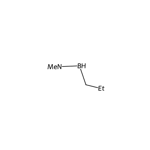 CCCBNC